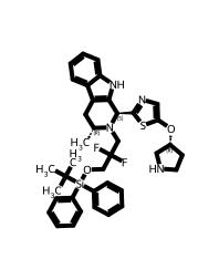 C[C@@H]1Cc2c([nH]c3ccccc23)[C@@H](c2ncc(O[C@@H]3CCNC3)s2)N1CC(F)(F)CO[Si](c1ccccc1)(c1ccccc1)C(C)(C)C